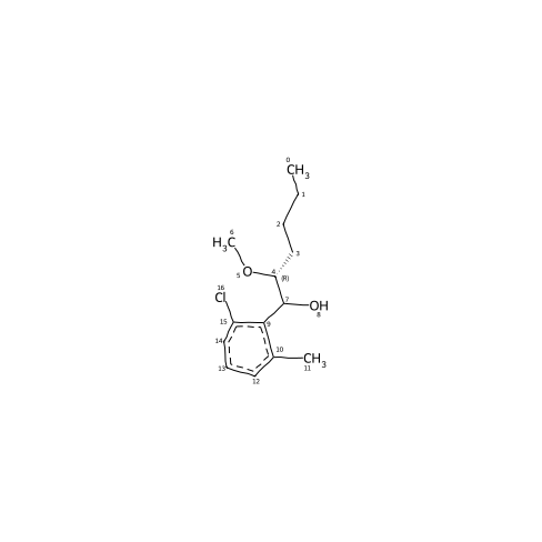 CCCC[C@@H](OC)C(O)c1c(C)cccc1Cl